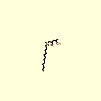 [CH2]C(O)CC(O)C[N+](C)(C)CCCCCCCCCCCC